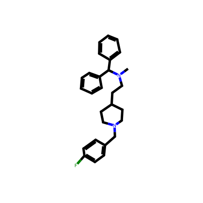 CN(CCC1CCN(Cc2ccc(F)cc2)CC1)C(c1ccccc1)c1ccccc1